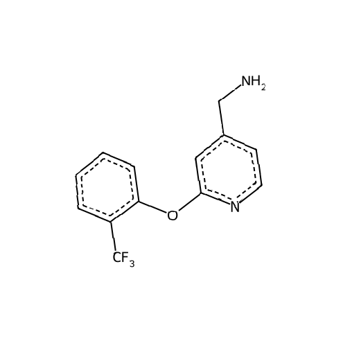 NCc1ccnc(Oc2ccccc2C(F)(F)F)c1